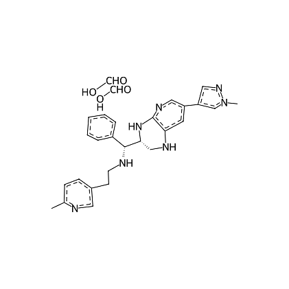 Cc1ccc(CCN[C@H](c2ccccc2)[C@H]2CNc3cc(-c4cnn(C)c4)cnc3N2)cn1.O=CO.O=CO